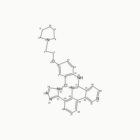 Clc1cc(OCCN2CCCCC2)ccc1Nc1nc2c(-c3nnc[nH]3)cccc2c2cnccc12